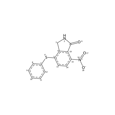 O=C1NCc2c(Sc3ccccc3)ccc([N+](=O)[O-])c21